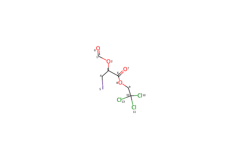 O=[C]OC(CI)C(=O)OCC(Cl)(Cl)Cl